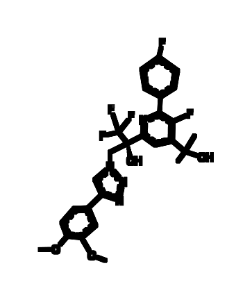 COc1ccc(-c2cn(C[C@](O)(c3cc(C(C)(C)O)c(F)c(-c4ccc(F)cc4)n3)C(F)(F)F)nn2)cc1OC